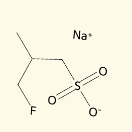 CC(CF)CS(=O)(=O)[O-].[Na+]